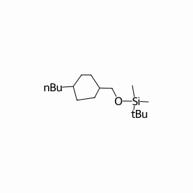 CCCCC1CCC(CO[Si](C)(C)C(C)(C)C)CC1